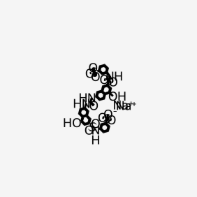 O=C(Nc1ccc2c(O)cc(S(=O)(=O)Nc3cccc(S(=O)(=O)[O-])c3)cc2c1)Nc1ccc2c(O)cc(S(=O)(=O)Nc3cccc(S(=O)(=O)[O-])c3)cc2c1.[Na+].[Na+]